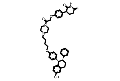 O=C1CCC(c2ccc(OCC(=O)N3CCN(CCCCOc4ccc([C@@H]5c6ccc(O)cc6CC[C@@H]5c5ccccc5)cc4)CC3)cc2)C(=O)N1